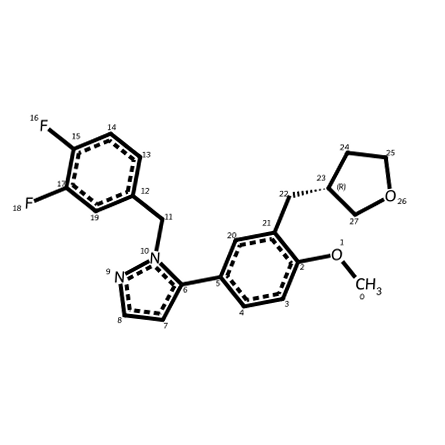 COc1ccc(-c2ccnn2Cc2ccc(F)c(F)c2)cc1C[C@@H]1CCOC1